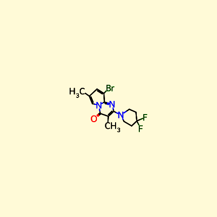 Cc1cc(Br)c2nc(N3CCC(F)(F)CC3)c(C)c(=O)n2c1